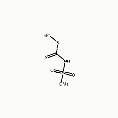 CCCSC(=S)NS(=O)(=O)OC